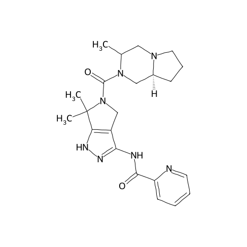 CC1CN2CCC[C@H]2CN1C(=O)N1Cc2c(NC(=O)c3ccccn3)n[nH]c2C1(C)C